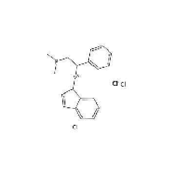 CP(C)C[CH]([V+3][CH]1C=Cc2ccccc21)c1ccccc1.[Cl-].[Cl-].[Cl-]